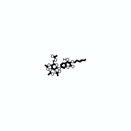 CC/C=C/CCOc1c(O)c2ccc(O[C@H]3O[C@H](COC(C)=O)[C@@H](OC(C)=O)[C@H](OC(C)=O)[C@@H]3OC(C)=O)cc2oc1=O